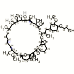 COC1C(=O)C(C)C[C@H](C)CC/C=C/C=C(\C)[C@@H](OC)C[C@@H]2CCC(C)C(O)(O2)C(=O)C(=O)N2CCCCC2C(=O)O[C@H]([C@H](C)CC2CC[C@@H](OCCO)C(OC)C2)CC(=O)C(C)/C=C(\C)[C@H]1O